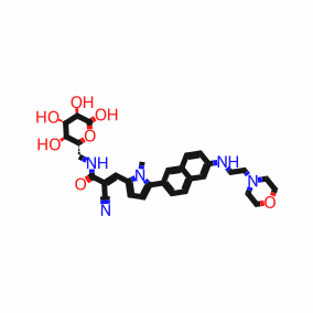 Cn1c(/C=C(\C#N)C(=O)NC[C@H]2OC(O)[C@H](O)[C@@H](O)[C@@H]2O)ccc1-c1ccc2cc(NCCN3CCOCC3)ccc2c1